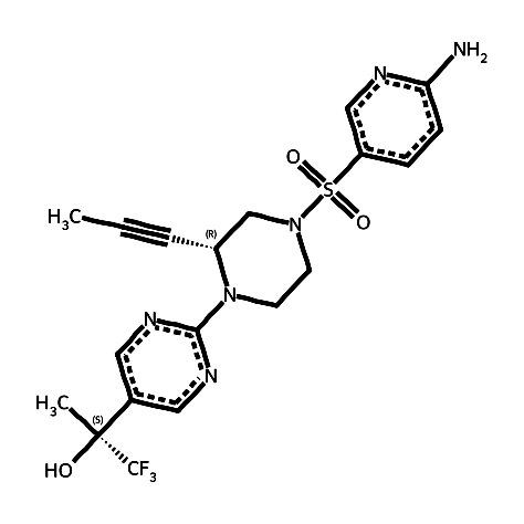 CC#C[C@@H]1CN(S(=O)(=O)c2ccc(N)nc2)CCN1c1ncc([C@](C)(O)C(F)(F)F)cn1